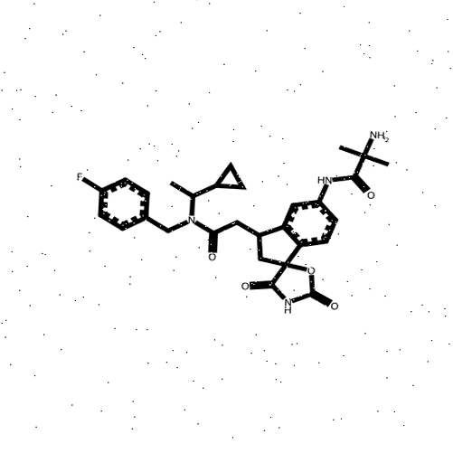 CC(C1CC1)N(Cc1ccc(F)cc1)C(=O)CC1CC2(OC(=O)NC2=O)c2ccc(NC(=O)C(C)(C)N)cc21